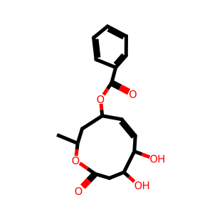 CC1CC(OC(=O)c2ccccc2)C=CC(O)C(O)CC(=O)O1